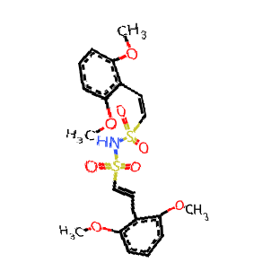 COc1cccc(OC)c1/C=C\S(=O)(=O)NS(=O)(=O)/C=C/c1c(OC)cccc1OC